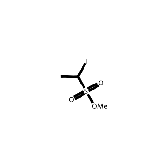 COS(=O)(=O)C(C)I